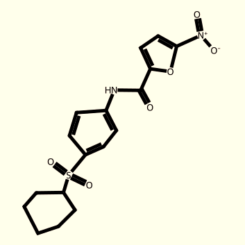 O=C(Nc1ccc(S(=O)(=O)C2CCCCC2)cc1)c1ccc([N+](=O)[O-])o1